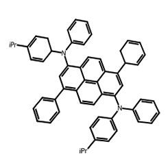 CC(C)C1=CCC(N(c2ccccc2)c2cc(-c3ccccc3)c3ccc4c(N(c5ccccc5)c5ccc(C(C)C)cc5)cc(C5C=CC=CC5)c5ccc2c3c54)C=C1